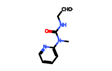 CN(C(=O)NC[C]=O)c1ccccn1